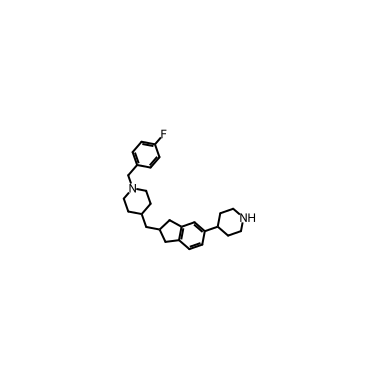 Fc1ccc(CN2CCC(CC3Cc4ccc(C5CCNCC5)cc4C3)CC2)cc1